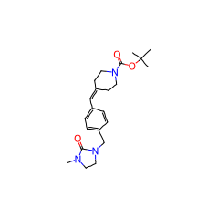 CN1CCN(Cc2ccc(C=C3CCN(C(=O)OC(C)(C)C)CC3)cc2)C1=O